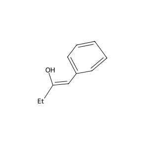 CCC(O)=Cc1ccccc1